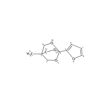 CC12COC(c3ccco3)(OC1)OC2